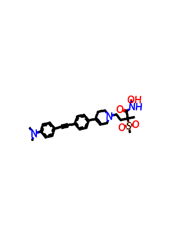 CN(C)c1ccc(C#Cc2ccc(C3=CCN(CCC(C)(C(=O)NO)S(C)(=O)=O)CC3)cc2)cc1